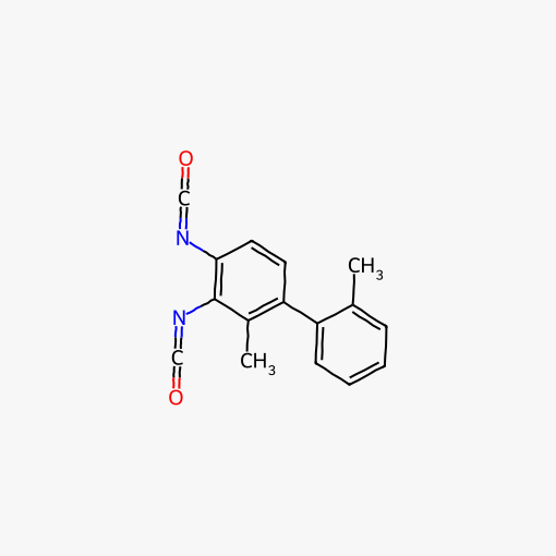 Cc1ccccc1-c1ccc(N=C=O)c(N=C=O)c1C